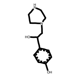 Oc1ccc(C(O)CN2CCNCC2)cc1